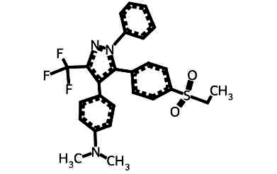 CCS(=O)(=O)c1ccc(-c2c(-c3ccc(N(C)C)cc3)c(C(F)(F)F)nn2-c2ccccc2)cc1